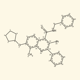 Cc1c(OC2CCCC2)ccc2c(C(=O)NCc3ccccc3)c(C(C)C)c(-c3ccccc3)nc12